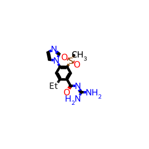 CCc1cc(-n2ccnc2)c(S(C)(=O)=O)cc1C(=O)N=C(N)N